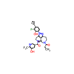 C=CC(=O)N1CCc2nn(-c3ccc(C45CC(C4)C5)c(F)c3O)c3c2[C@H](C1)N(C(=O)c1cnc(C(F)(F)F)c(O)c1)CC3